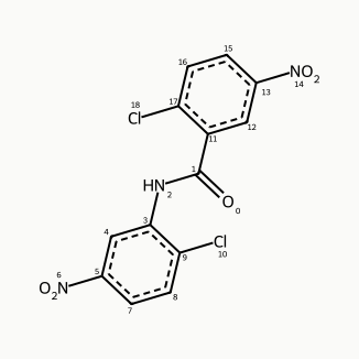 O=C(Nc1cc([N+](=O)[O-])ccc1Cl)c1cc([N+](=O)[O-])ccc1Cl